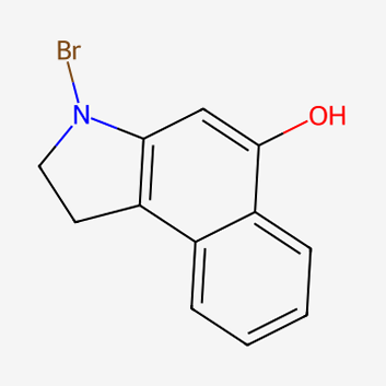 Oc1cc2c(c3ccccc13)CCN2Br